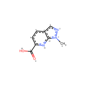 Cn1ncc2ccc(C(=O)O)nc21